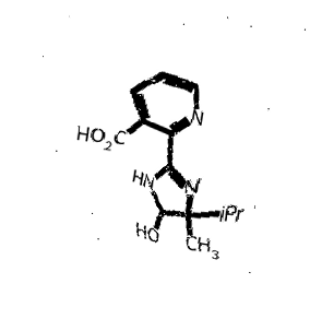 CC(C)C1(C)N=C(c2ncccc2C(=O)O)NC1O